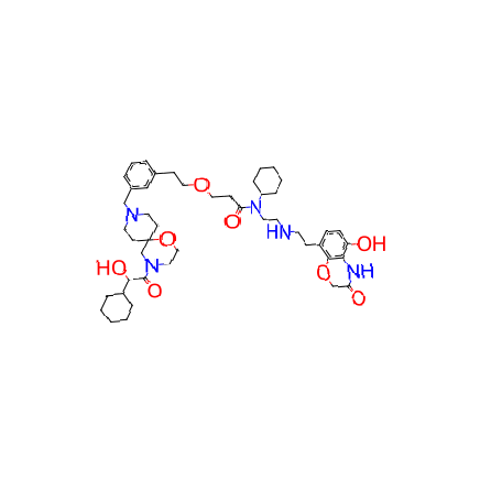 O=C1COc2c(CCNCCN(C(=O)CCOCCc3cccc(CN4CCC5(CC4)CN(C(=O)C(O)C4CCCCC4)CCO5)c3)C3CCCCC3)ccc(O)c2N1